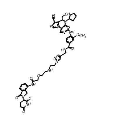 CC[C@@H]1c2c(C#N)ncn2-c2cnc(Nc3ccc(C(=O)NCc4cn(CCNCCOCC(=O)Nc5cccc6c5CN(C5CCC(=O)NC5=O)C6=O)nn4)cc3OC)nc2N1C1CCCC1